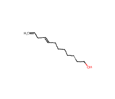 C=CCC=CCCCCCCCO